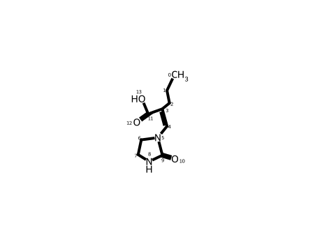 CCCC(=CN1CCNC1=O)C(=O)O